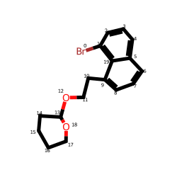 Brc1cccc2cccc(CCOC3CCCCO3)c12